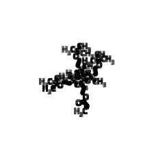 C=CC(=O)OCCC[Si](O[Si](C)(C)CCO[Si](C)(C)C)(O[Si](C)(C)CCO[Si](C)(C)C)O[Si](C)(C)CCO[Si](C)(C)C